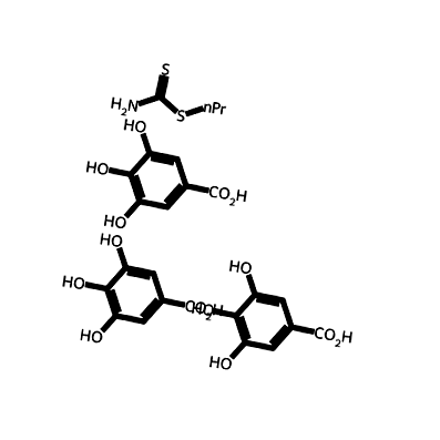 CCCSC(N)=S.O=C(O)c1cc(O)c(O)c(O)c1.O=C(O)c1cc(O)c(O)c(O)c1.O=C(O)c1cc(O)c(O)c(O)c1